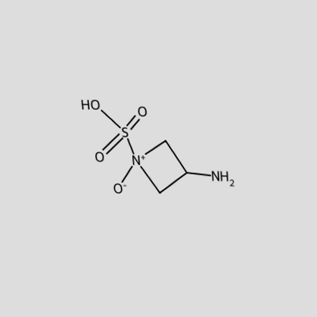 NC1C[N+]([O-])(S(=O)(=O)O)C1